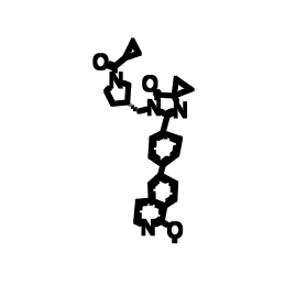 COc1nccc2cc(-c3ccc(C4=NC5(CC5)C(=O)N4C[C@@H]4CCN(C(=O)C5CC5)C4)cc3)ccc12